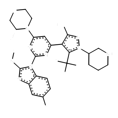 CNc1nc2cc(F)ccc2n1-c1nc(-c2c(C)nn(C3CCCNC3)c2C(F)(F)F)cc(N2CCOC[C@H]2C)n1